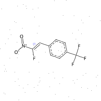 O=[N+]([O-])/C(F)=C/c1ccc(C(F)(F)F)cc1